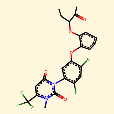 CCC(Oc1ccccc1Oc1cc(-n2c(=O)cc(C(F)(F)F)n(C)c2=O)c(F)cc1Cl)C(C)=O